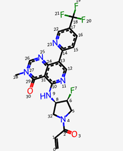 C=CC(=O)N1C[C@H](F)[C@H](Nc2ncc(-c3ccc(C(F)(F)F)cn3)c3ncn(C)c(=O)c23)C1